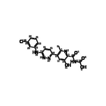 Cc1nc(C(=O)NC(=O)O)c(O)cc1-c1ccc(Nc2cccc(Cl)c2)nn1